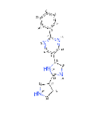 c1ccc(-c2ncc(C3CN=C(C4CCNC4)N3)cn2)cc1